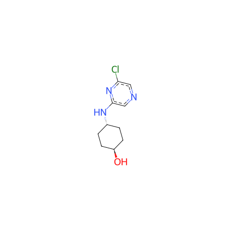 O[C@H]1CC[C@H](Nc2cncc(Cl)n2)CC1